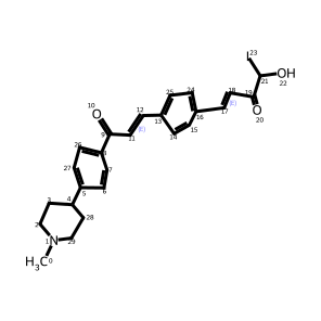 CN1CCC(c2ccc(C(=O)/C=C/c3ccc(/C=C/C(=O)C(O)I)cc3)cc2)CC1